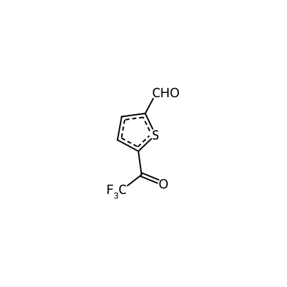 O=Cc1ccc(C(=O)C(F)(F)F)s1